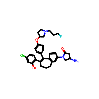 NC1CC(=O)N(c2ccc3c(c2)CCCC(c2ccc(Cl)cc2O)=C3c2ccc(OC3CCN(CCCF)C3)cc2)C1